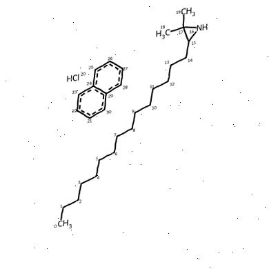 CCCCCCCCCCCCCCCC1NC1(C)C.Cl.c1ccc2ccccc2c1